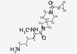 CN[C@H](CCCCN)C(=O)N1CC2(CCN(C(=O)C3CC3)CC2)C1